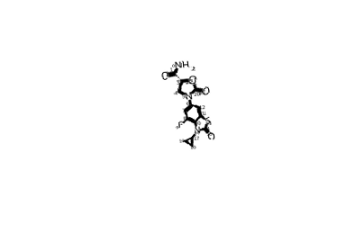 NC(=O)[C@H]1CN(c2cc(F)c3c(c2)sc(=O)n3C2CC2)C(=O)O1